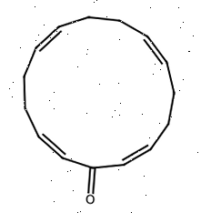 O=C1C=CCCC=CCCC=CCCC=C1